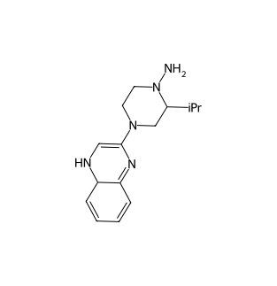 CC(C)C1CN(C2=CNC3C=CC=CC3=N2)CCN1N